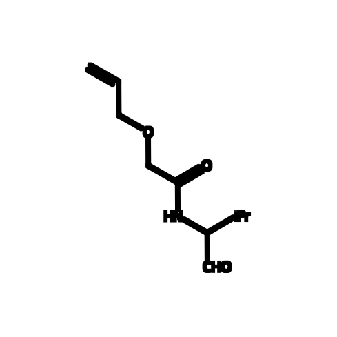 C=CCOCC(=O)NC(C=O)C(C)C